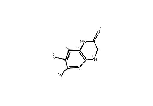 O=C1CNc2cc(Br)c(Cl)cc2N1